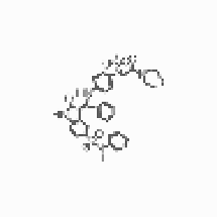 CS(=O)(=O)N(CC(=O)N1CCOCC1)c1ccc(N/C(=C2\C(=O)Nc3ccc(S(=O)(=O)Nc4ccccc4)cc32)c2ccccc2)cc1